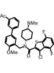 CN[C@H]1CC[C@H](N(Cc2cc(-c3cccc(C(C)=O)c3)ccc2OC)C(=O)c2sc3c(F)ccc(F)c3c2Cl)CC1